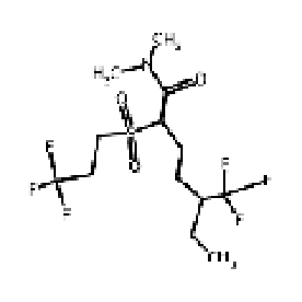 CCC(CCC(C(=O)N(C)C)S(=O)(=O)CCC(F)(F)F)C(F)(F)F